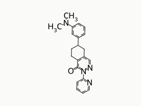 CN(C)c1cccc(C2CCc3c(cnn(-c4ccccn4)c3=O)C2)c1